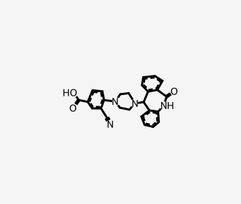 N#Cc1cc(C(=O)O)ccc1N1CCN(C2c3ccccc3NC(=O)c3ccccc32)CC1